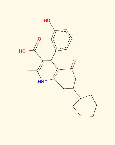 CC1=C(C(=O)O)C(c2cccc(O)c2)C2=C(CC(C3CCCCC3)CC2=O)N1